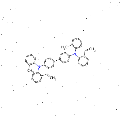 C=Cc1ccccc1N(c1ccc(-c2ccc(N(c3ccccc3C)c3ccccc3C=C)cc2)cc1)c1ccccc1C